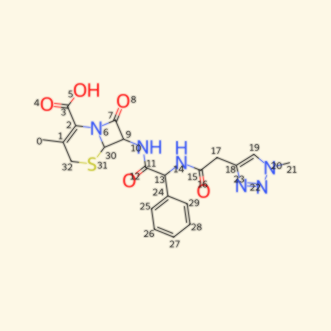 CC1=C(C(=O)O)N2C(=O)C(NC(=O)C(NC(=O)Cc3cn(C)nn3)c3ccccc3)C2SC1